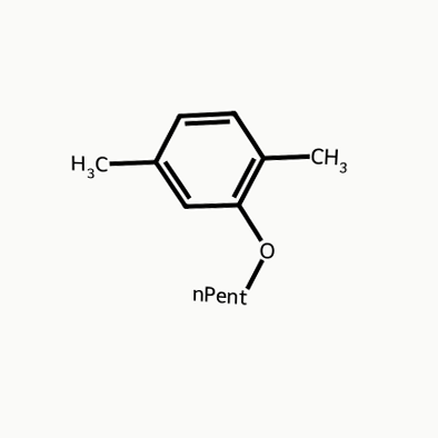 CCCCCOc1cc(C)ccc1C